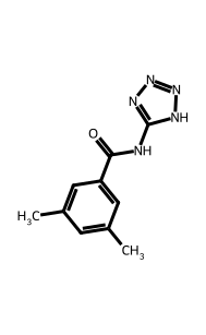 Cc1cc(C)cc(C(=O)Nc2nnn[nH]2)c1